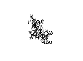 C=CCC[C@@H](NC(=O)[C@@H]1C2C(CN1C(=O)[C@@H](NC(=O)OC(C)(C)C)C1CCC(=O)CC1)C2(C)C)C(=O)C(=O)NCC=C